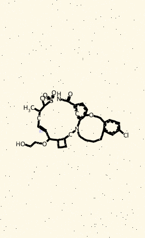 CC1C/C=C/C(OCCO)C2CCC2CN2CCCCc3cc(Cl)ccc3COc3ccc(cc32)C(=O)NS(=O)(=O)C1C